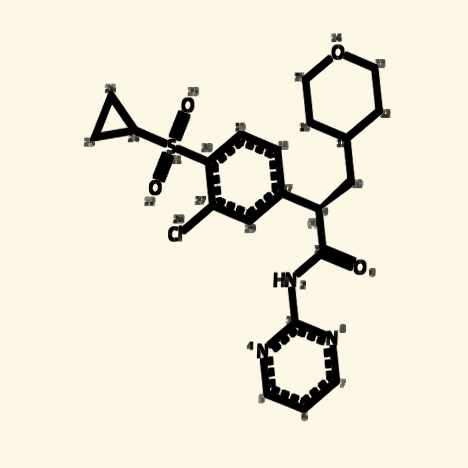 O=C(Nc1ncccn1)[C@H](CC1CCOCC1)c1ccc(S(=O)(=O)C2CC2)c(Cl)c1